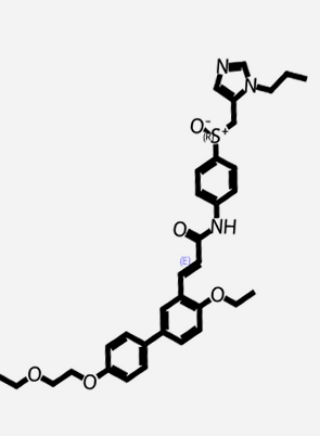 CCCOCCOc1ccc(-c2ccc(OCC)c(/C=C/C(=O)Nc3ccc([S@@+]([O-])Cc4cncn4CCC)cc3)c2)cc1